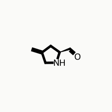 C=C1CN[C@H](C=O)C1